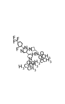 CC(C)(C)OC(=O)NCC1CCN(c2nc(-c3ccc(C(F)(F)F)cc3F)ncc2C2=CCN(C(=O)OC(C)(C)C)C2)C1